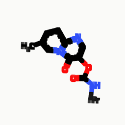 CCCNC(=O)Oc1cnc2ccc(C)cn2c1=O